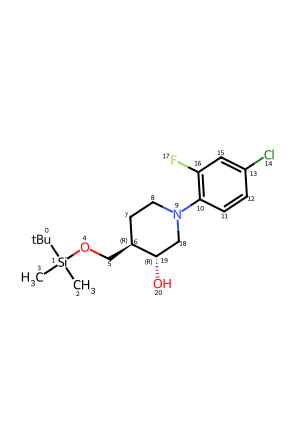 CC(C)(C)[Si](C)(C)OC[C@H]1CCN(c2ccc(Cl)cc2F)C[C@@H]1O